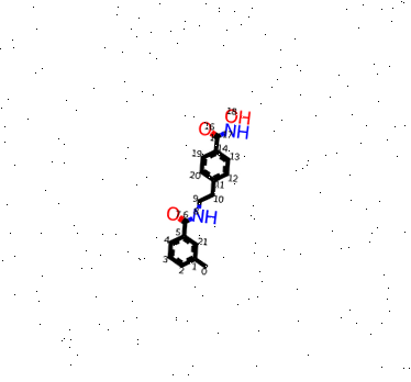 Cc1cccc(C(=O)NCCc2ccc(C(=O)NO)cc2)c1